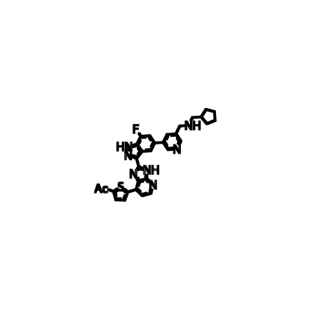 CC(=O)c1ccc(-c2ccnc3[nH]c(-c4n[nH]c5c(F)cc(-c6cncc(CNCC7CCCC7)c6)cc45)nc23)s1